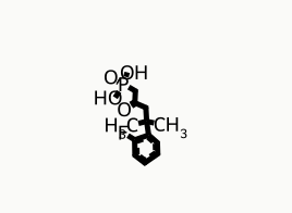 CC(C)(CC(=O)CP(=O)(O)O)c1ccccc1F